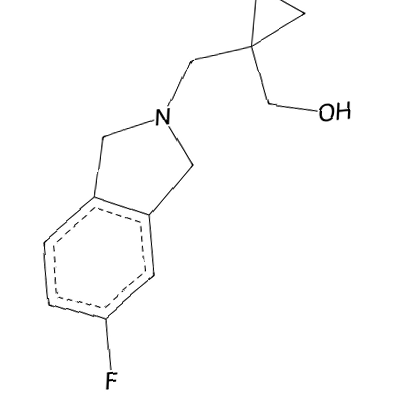 OCC1(CN2Cc3ccc(F)cc3C2)CC1